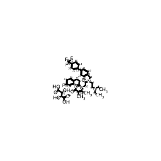 CCN(CC)CCN(Cc1ccc(-c2ccc(C(F)(F)F)cc2)cc1)C(=O)Cn1c(CCc2ccc(F)cc2)nc(=O)c(C)c1C.O=C(O)C(O)C(O)C(=O)O